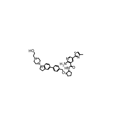 Cc1csc(-c2cnc(N)c(C(=O)N[C@H]3CCC[C@@H]3OCc3ccc(-c4ccc5c(c4)CC[C@@H]5N4CCN(CCO)CC4)cc3)c2)n1